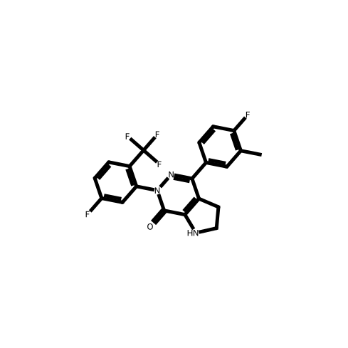 Cc1cc(-c2nn(-c3cc(F)ccc3C(F)(F)F)c(=O)c3c2CCN3)ccc1F